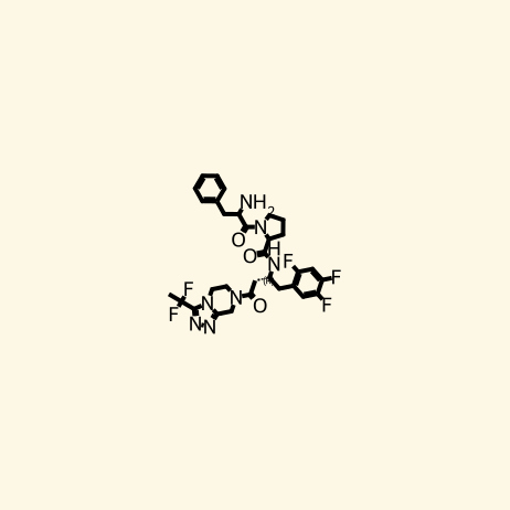 CC(F)(F)c1nnc2n1CCN(C(=O)C[C@@H](Cc1cc(F)c(F)cc1F)NC(=O)C1CCCN1C(=O)C(N)Cc1ccccc1)C2